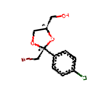 OC[C@@H]1CO[C@@](CBr)(c2ccc(Cl)cc2)O1